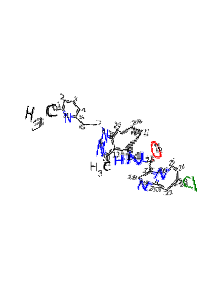 Cc1cccc(CCn2nc(C)c3c(NC(=O)c4cnc5cc(Cl)ccn45)cccc32)n1